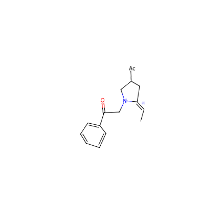 C/C=C1/CC(C(C)=O)CN1CC(=O)c1ccccc1